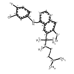 CCOc1cc2ncnc(Nc3ccc(F)c(Cl)c3)c2cc1C(C)(C)N(C)CCN(C)C